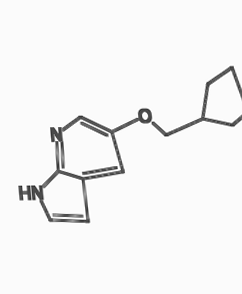 c1cc2cc(OCC3CCCC3)cnc2[nH]1